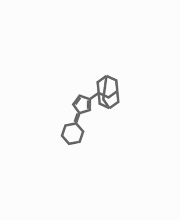 [C]1=C(C23CC4CC(CC(C4)C2)C3)C=CC1=C1CCCCC1